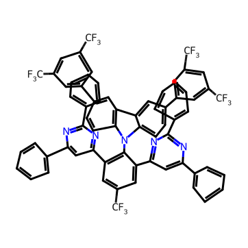 FC(F)(F)c1cc(-c2ccc3c(c2)c2cc(-c4cc(C(F)(F)F)cc(C(F)(F)F)c4)ccc2n3-c2c(-c3cc(-c4ccccc4)nc(-c4ccccc4)n3)cc(C(F)(F)F)cc2-c2cc(-c3ccccc3)nc(-c3ccccc3)n2)cc(C(F)(F)F)c1